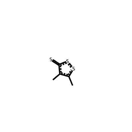 Cc1ssc(=S)c1C